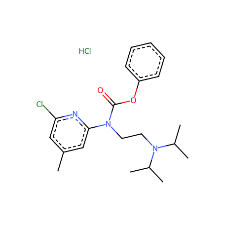 Cc1cc(Cl)nc(N(CCN(C(C)C)C(C)C)C(=O)Oc2ccccc2)c1.Cl